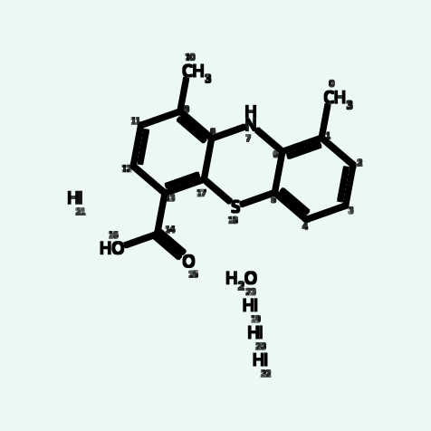 Cc1cccc2c1Nc1c(C)ccc(C(=O)O)c1S2.I.I.I.I.O